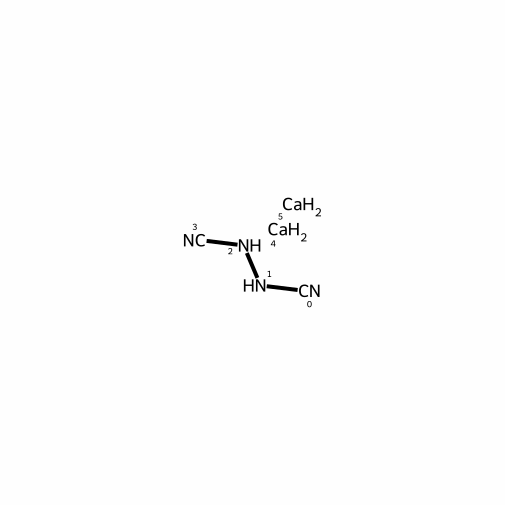 N#CNNC#N.[CaH2].[CaH2]